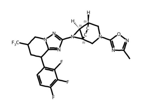 Cc1noc(N2C[C@@H]3CC[C@]4(C2)[C@H]3N4c2nc3n(n2)CC(C(F)(F)F)CC3c2ccc(F)c(F)c2F)n1